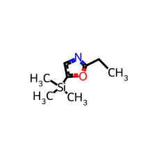 CCc1ncc([Si](C)(C)C)o1